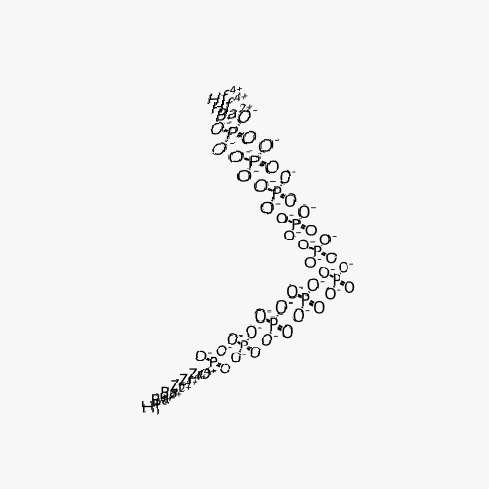 O=P([O-])([O-])[O-].O=P([O-])([O-])[O-].O=P([O-])([O-])[O-].O=P([O-])([O-])[O-].O=P([O-])([O-])[O-].O=P([O-])([O-])[O-].O=P([O-])([O-])[O-].O=P([O-])([O-])[O-].O=P([O-])([O-])[O-].O=P([O-])([O-])[O-].[Ba+2].[Ba+2].[Ba+2].[Hf+4].[Hf+4].[Hf+4].[Zr+4].[Zr+4].[Zr+4]